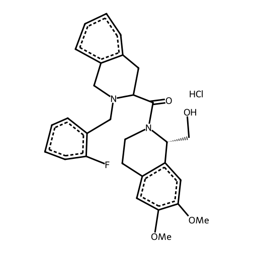 COc1cc2c(cc1OC)[C@@H](CO)N(C(=O)C1Cc3ccccc3CN1Cc1ccccc1F)CC2.Cl